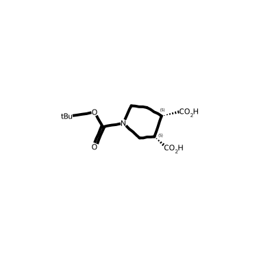 CC(C)(C)OC(=O)N1CC[C@H](C(=O)O)[C@H](C(=O)O)C1